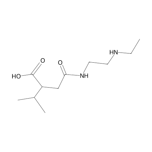 CCNCCNC(=O)CC(C(=O)O)C(C)C